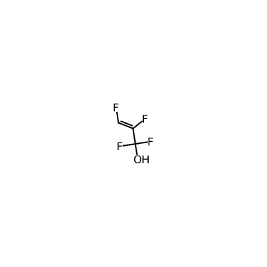 OC(F)(F)C(F)=CF